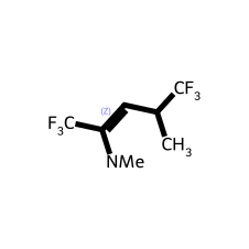 CN/C(=C\C(C)C(F)(F)F)C(F)(F)F